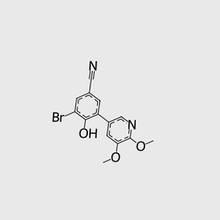 COc1cc(-c2cc(C#N)cc(Br)c2O)cnc1OC